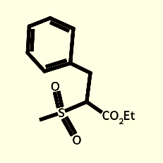 CCOC(=O)C(Cc1ccccc1)S(C)(=O)=O